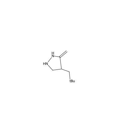 C=C1NNCC1CC(C)(C)C